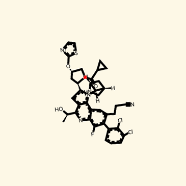 C[C@@H](O)c1nc2c(F)c(-c3cccc(Cl)c3Cl)c(CCC#N)cc2c2c1cc([C@H]1C[C@H](Oc3nccs3)CN1C(=O)C1CC1)n2[C@H]1[C@H]2CN[C@@H]1C2